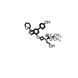 CC(C)(C)OC(=O)N(CCO)[C@H]1C[C@H](Oc2cc(-c3ccc(O)cc3)cc3c2cnn3C2CCCCO2)C1